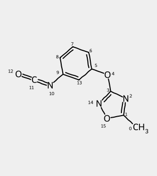 Cc1nc(Oc2cccc(N=C=O)c2)no1